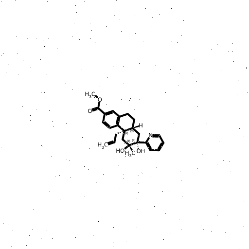 C=CC[C@@]12C[C@@](C)(O)[C@](O)(c3ccccn3)C[C@H]1CCc1cc(C(=O)OC)ccc12